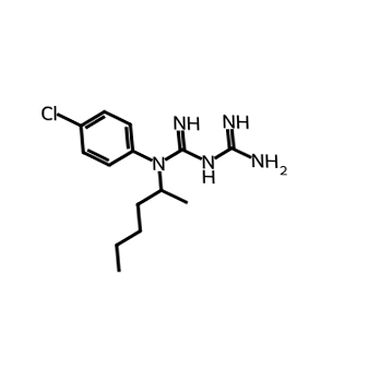 CCCCC(C)N(C(=N)NC(=N)N)c1ccc(Cl)cc1